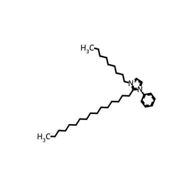 CCCCCCCCCCCCCCCCc1n(-c2ccccc2)cc[n+]1CCCCCCCCC